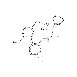 COc1ccc(CC(=O)O)cc1-c1ccc(C(F)(F)F)cc1CN[C@@H](C)[C@@H](O)c1ccccc1